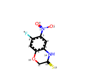 O=[N+]([O-])c1cc2c(cc1F)OCC(=S)N2